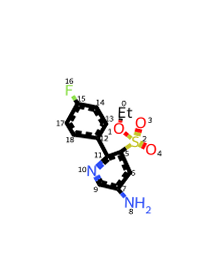 CCOS(=O)(=O)c1cc(N)cnc1-c1ccc(F)cc1